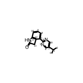 CC(C)c1cnc(-c2cccc3c2CC(=O)N3)nc1